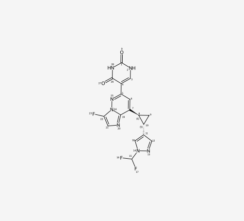 O=c1[nH]cc(-c2cc([C@H]3C[C@@H]3c3cnn(C(F)F)c3)c3ncc(F)n3n2)c(=O)[nH]1